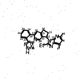 CCc1nc2c(C)cc(C)nc2n1C1CCc2cc(-c3ccccc3-c3nn[nH]n3)ncc21